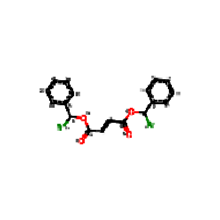 O=C(/C=C/C(=O)OC(Br)c1ccccc1)OC(Br)c1ccccc1